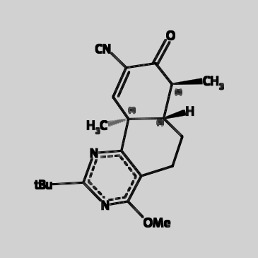 [C-]#[N+]C1=C[C@]2(C)c3nc(C(C)(C)C)nc(OC)c3CC[C@H]2[C@H](C)C1=O